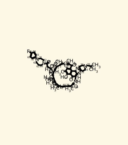 COC1/C=C/OC2(C)Oc3c(C)c(O)c4c(c3C2=O)C2=NC3(CCN(CC(C)C)CC3)NC2=C(NC(=O)/C(C)=C\C=C\C(C)[C@H](O)[C@@H](C)C(O)[C@@H](C)C(OC(=O)CC(=O)N2CCCN(c3ccc(F)cc3)CC2)[C@@H]1C)C4=O